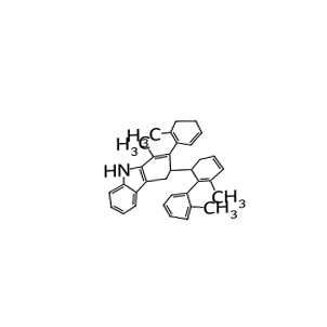 CC1=C(c2ccccc2C)C(C2Cc3c([nH]c4ccccc34)C(C)=C2C2=C(C)CCC=C2)CC=C1